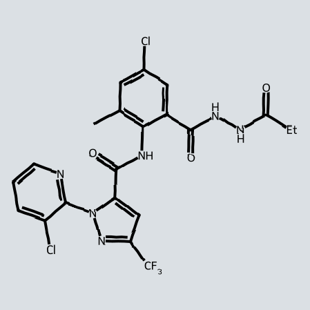 CCC(=O)NNC(=O)c1cc(Cl)cc(C)c1NC(=O)c1cc(C(F)(F)F)nn1-c1ncccc1Cl